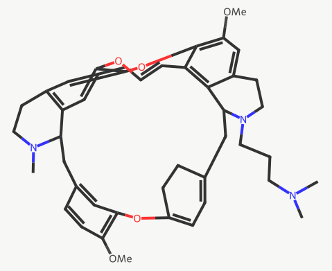 COc1ccc2cc1OC1=CC=C(CC1)CC1c3c(cc(OC)c4oc5cc6c(cc5occc34)C(C2)N(C)CC6)CCN1CCCN(C)C